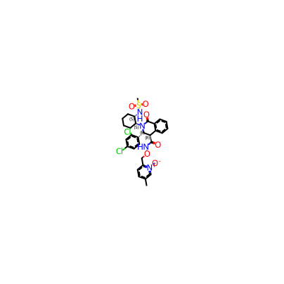 Cc1ccc(CONC(=O)[C@@H]2c3ccccc3C(=O)N([C@H]3CCCC[C@@H]3NS(C)(=O)=O)[C@H]2c2ccc(Cl)cc2Cl)[n+]([O-])c1